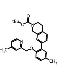 Cc1ccnc(COc2ccc(C)cc2-c2ccc3c(c2)CN(C(=O)OC(C)(C)C)CC3)c1